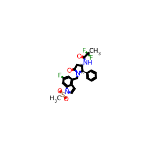 CC(F)(F)C(=O)N[C@H]1CC(=O)N(Cc2cc(F)cc3c2ccn3S(C)(=O)=O)[C@@H]1c1ccccc1